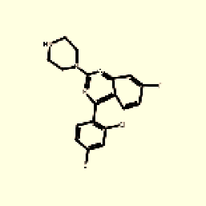 Fc1ccc2c(-c3ccc(Cl)cc3Cl)nc(N3CCNCC3)nc2c1